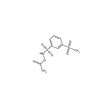 CC(=O)ONS(=O)(=O)c1cccc(S(C)(=O)=O)c1